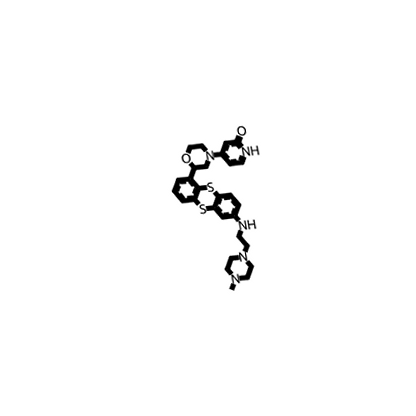 CN1CCN(CCNc2ccc3c(c2)Sc2cccc(C4CN(c5cc[nH]c(=O)c5)CCO4)c2S3)CC1